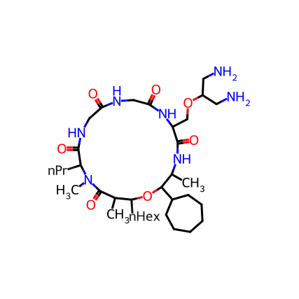 CCCCCCC1OC(C2CCCCCC2)C(C)NC(=O)C(COC(CN)CN)NC(=O)CNC(=O)CNC(=O)C(CCC)N(C)C(=O)C1C